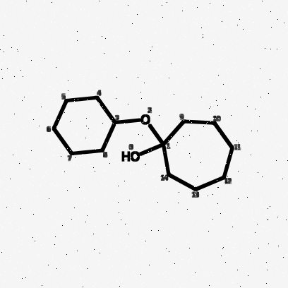 OC1(OC2CCCCC2)CCCCCC1